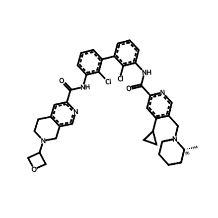 C[C@@H]1CCCCN1Cc1cnc(C(=O)Nc2cccc(-c3cccc(NC(=O)c4cc5c(cn4)CN(C4COC4)CC5)c3Cl)c2Cl)cc1C1CC1